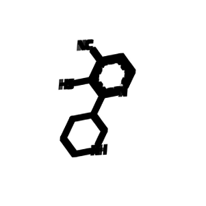 N#Cc1ccnc(C2CCCNC2)c1S